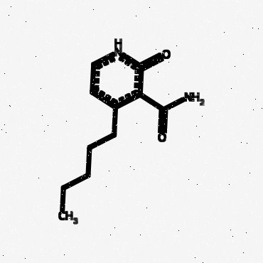 CCCCCc1cc[nH]c(=O)c1C(N)=O